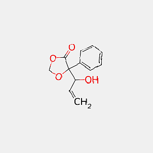 C=CC(O)C1(c2ccccc2)OCOC1=O